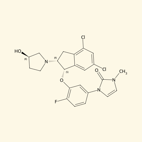 Cn1ccn(-c2ccc(F)c(O[C@H]3c4cc(Cl)cc(Cl)c4C[C@H]3N3CC[C@@H](O)C3)c2)c1=O